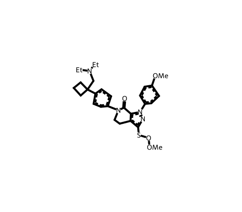 CCN(CC)CC1(c2ccc(N3CCc4c(SOOC)nn(-c5ccc(OC)cc5)c4C3=O)cc2)CCC1